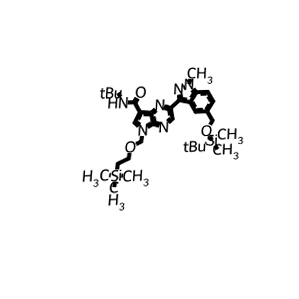 Cn1nc(-c2cnc3c(n2)c(C(=O)NC(C)(C)C)cn3COCC[Si](C)(C)C)c2cc(CO[Si](C)(C)C(C)(C)C)ccc21